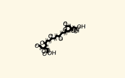 O=C(O)CC1(O)CC(=O)OC(CCC(=O)CCC(=O)CCC2CC(O)(CC(=O)O)CC(=O)O2)C1